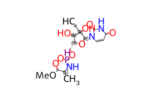 C#C[C@@]1(O)[C@H](O)[C@@H](CO[PH](=O)N[C@@H](C)C(=O)OC)O[C@H]1n1ccc(=O)[nH]c1=O